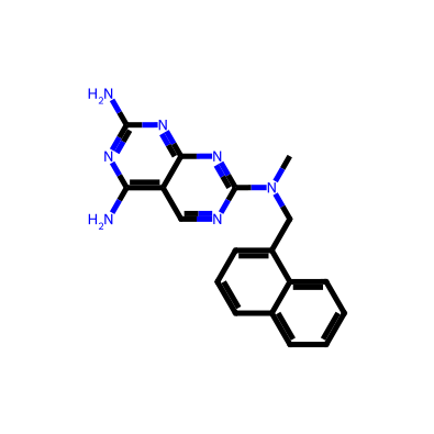 CN(Cc1cccc2ccccc12)c1ncc2c(N)nc(N)nc2n1